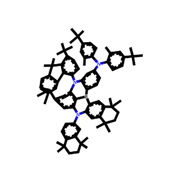 Cc1cc(C(C)(C)C)ccc1N(c1ccc2c(c1)N1c3cc(cc4c3B2c2cc3c(cc2N4c2ccc4c(c2)C(C)(C)CCC4(C)C)C(C)(C)CCC3(C)C)C(C)(C)c2ccc3c(c2)C(C)(C)c2c(C(C)(C)C)ccc1c2-3)c1ccc(C(C)(C)C)cc1C